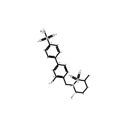 CC1CC[C@H](C)N(Cc2ccc(-c3ccc(S(N)(=O)=O)cc3)cc2F)S1(=O)=O